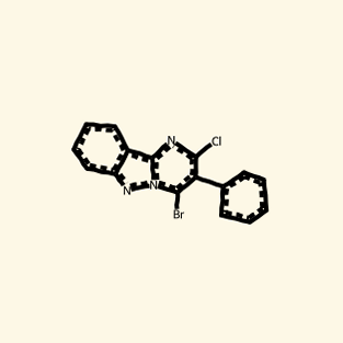 Clc1nc2c3ccccc3nn2c(Br)c1-c1ccccc1